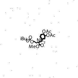 CC[C@H](C)OC(=O)OCC[C@@](N)(Cc1ccc(OC(C)=O)c(OC(C)=O)c1)C(=O)OC